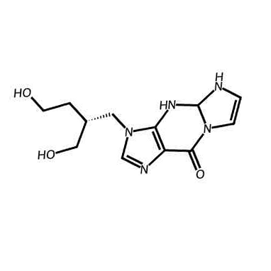 O=C1c2ncn(C[C@H](CO)CCO)c2NC2NC=CN12